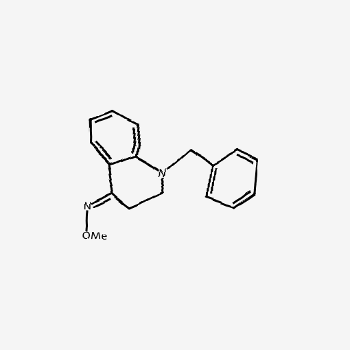 CON=C1CCN(Cc2ccccc2)c2ccccc21